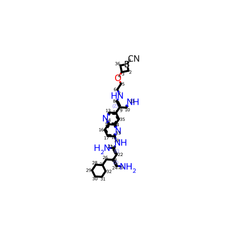 N#CB1CC(OCCN/C=C(\C=N)c2cnc3ccc(N/C(N)=C/C(=C\N)CC4CCCCC4)nc3c2)C1